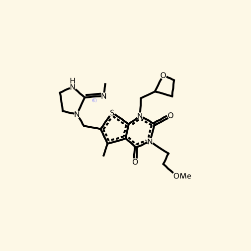 C/N=C1\NCCN1Cc1sc2c(c1C)c(=O)n(CCOC)c(=O)n2CC1CCO1